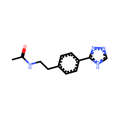 CC(=O)NCCc1ccc(-c2nnc[nH]2)cc1